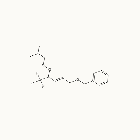 CC(C)COOC(C=CCOCc1ccccc1)C(F)(F)F